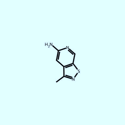 Cc1nsc2cnc(N)cc12